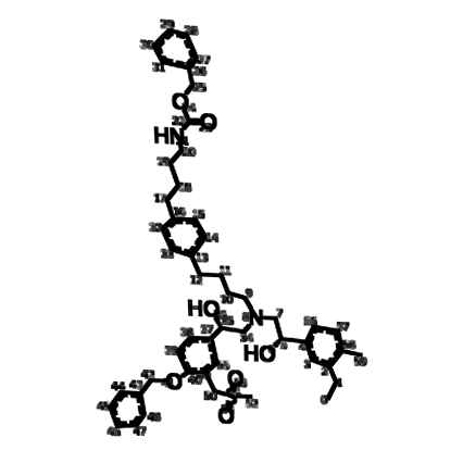 CCc1cc([C@@H](O)CN(CCCCc2ccc(CCCCNC(=O)OCc3ccccc3)cc2)C[C@H](O)c2ccc(OCc3ccccc3)c(CS(C)(=O)=O)c2)ccc1C